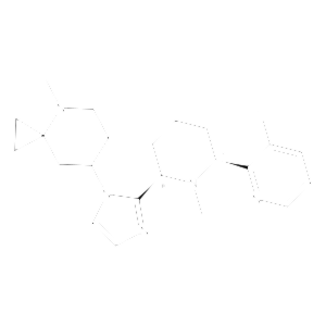 CN1[C@@H](c2nccn2C2CCN(C)C3(CC3)C2)CCC[C@H]1c1ncccc1Cl